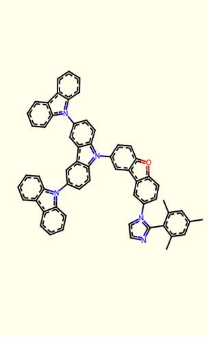 Cc1cc(C)c(-c2nccn2-c2ccc3oc4ccc(-n5c6ccc(-n7c8ccccc8c8ccccc87)cc6c6cc(-n7c8ccccc8c8ccccc87)ccc65)cc4c3c2)c(C)c1